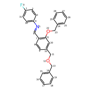 Fc1ccc(/N=C/c2ccc(COCc3ccccc3)cc2OCc2ccccc2)cc1